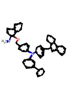 C=Nc1ccc2ccccc2c1OCc1ccc(N(c2ccc(-c3cc4ccccc4c4ccccc34)cc2)c2cccc(-c3ccccc3)c2)cc1